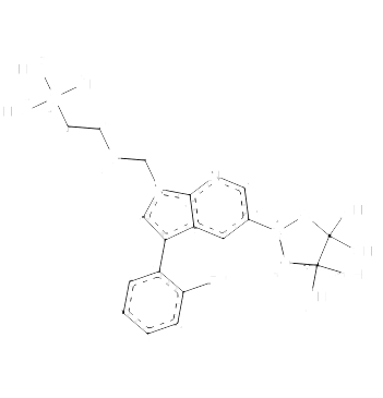 CC1(C)OB(c2cnc3c(c2)c(-c2ccccc2F)cn3COCC[Si](C)(C)C)OC1(C)C